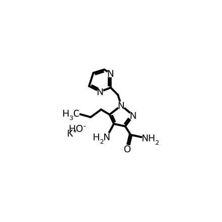 CCCc1c(N)c(C(N)=O)nn1Cc1ncccn1.[K+].[OH-]